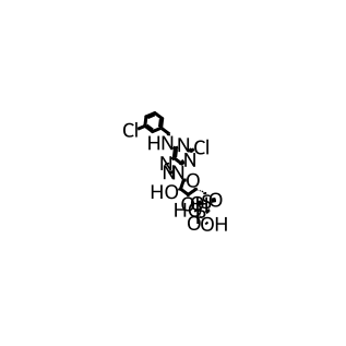 O=P(O)(O)CS(=O)(=O)C[C@H]1O[C@@H](n2nnc3c(NCc4cccc(Cl)c4)nc(Cl)nc32)[C@H](O)[C@@H]1O